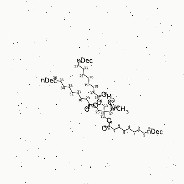 CCCCCCCCCCCCCCCCCC(=O)OCC(COC(=O)CCCCCCCCCCCCCCCCC)(COC(=O)CCCCCCCCCCCCCCCCC)CN(C)C